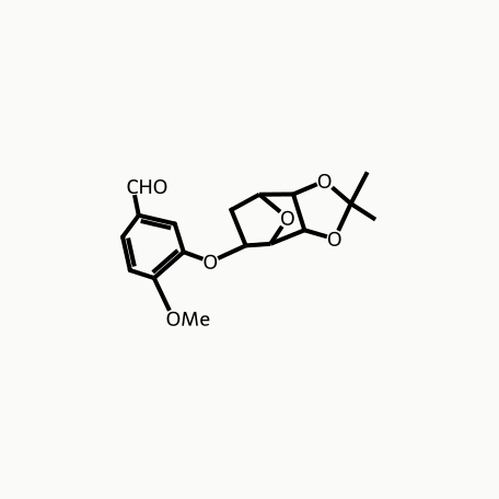 COc1ccc(C=O)cc1OC1CC2OC1C1OC(C)(C)OC21